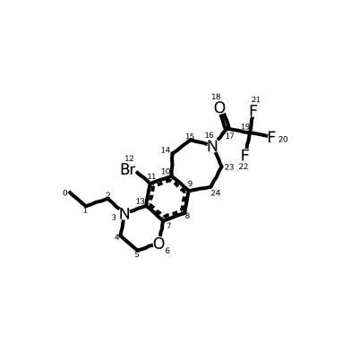 CCCN1CCOc2cc3c(c(Br)c21)CCN(C(=O)C(F)(F)F)CC3